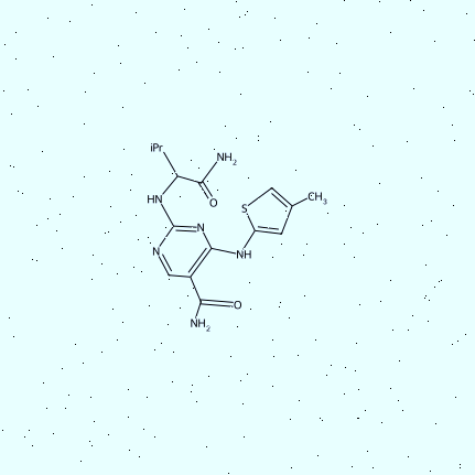 Cc1csc(Nc2nc(NC(C(N)=O)C(C)C)ncc2C(N)=O)c1